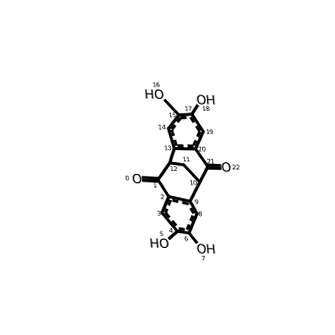 O=C1c2cc(O)c(O)cc2C2CC1c1cc(O)c(O)cc1C2=O